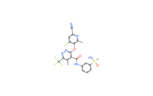 Cc1nc(C#N)cc(F)c1Oc1nnc(C(F)(F)F)c(C)c1C(=O)Nc1cccc(S(C)(=N)=O)c1